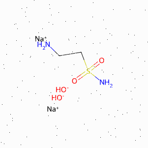 NCCS(N)(=O)=O.[Na+].[Na+].[OH-].[OH-]